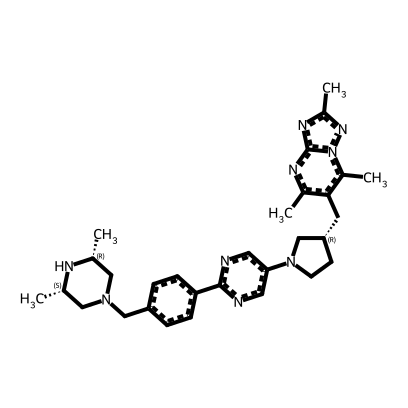 Cc1nc2nc(C)c(C[C@@H]3CCN(c4cnc(-c5ccc(CN6C[C@@H](C)N[C@@H](C)C6)cc5)nc4)C3)c(C)n2n1